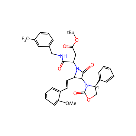 COc1ccccc1C=CC1C(N2C(=O)OC[C@@H]2c2ccccc2)C(=O)N1C(CC(=O)OC(C)(C)C)C(=O)NCc1cccc(C(F)(F)F)c1